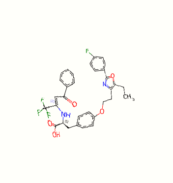 CCc1oc(-c2ccc(F)cc2)nc1CCOc1ccc(C[C@H](N/C(=C\C(=O)c2ccccc2)C(F)(F)F)C(=O)O)cc1